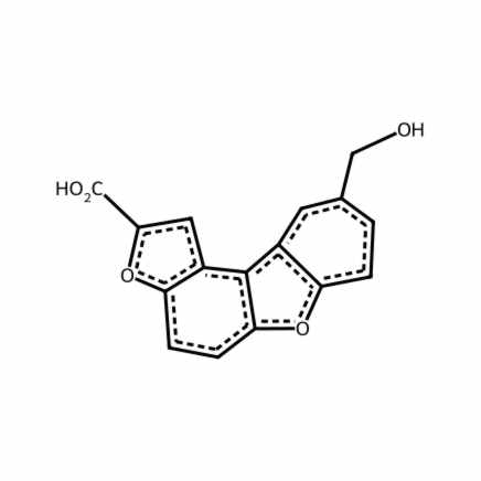 O=C(O)c1cc2c(ccc3oc4ccc(CO)cc4c32)o1